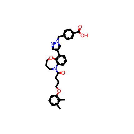 Cc1cccc(OCCCC(=O)N2CCCOc3c(-c4cnn(Cc5ccc(C(=O)O)cc5)c4)cccc32)c1C